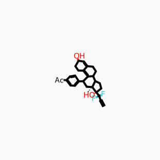 C#CC(F)(F)[C@]1(O)CCC2C3CCC4=CC(O)CCC4=C3C(c3ccc(C(C)=O)cc3)C[C@@]21C